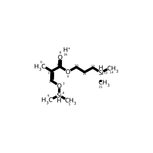 CC(=CO[SiH](C)C)C(=O)OCCC[SiH](C)C.[H+]